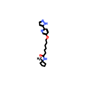 CC1(NC(=O)CCCCCCOc2ccc(-c3ccn[nH]3)nc2)CCCC1